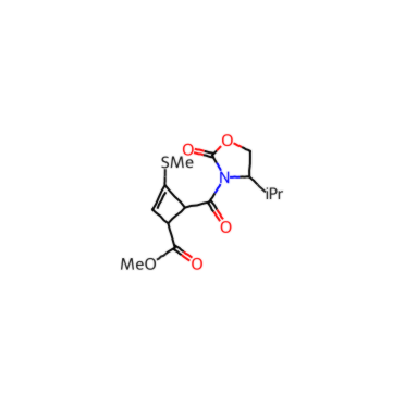 COC(=O)C1C=C(SC)C1C(=O)N1C(=O)OCC1C(C)C